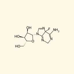 NC1=NCN=C2N([C@@H]3O[C@H](CO)[C@@H](O)[C@H]3O)C=NC12F